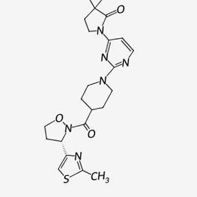 Cc1nc([C@@H]2CCON2C(=O)C2CCN(c3nccc(N4CCC5(CC5)C4=O)n3)CC2)cs1